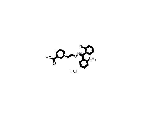 Cc1ccccc1/C(=N\OCCN1CCCC(C(=O)O)C1)c1ccccc1Cl.Cl